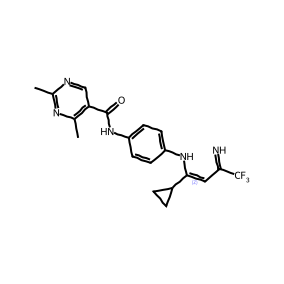 Cc1ncc(C(=O)Nc2ccc(N/C(=C\C(=N)C(F)(F)F)C3CC3)cc2)c(C)n1